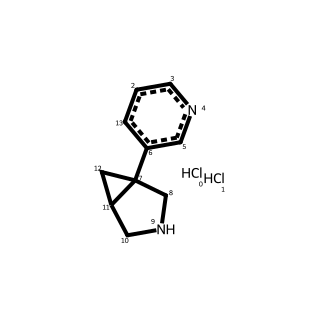 Cl.Cl.c1cncc(C23CNCC2C3)c1